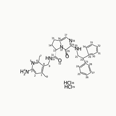 Cc1cc(N)nc(C)c1CNC(=O)[C@@H]1CCc2cnc(NCC(c3ccccc3)c3ccccc3)c(=O)n21.Cl.Cl